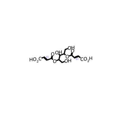 O=C(O)/C=C/C(=O)OC(CO)C(O)C(CO)OC(=O)/C=C/C(=O)O